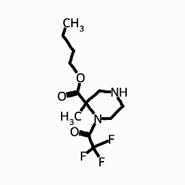 CCCCOC(=O)C1(C)CNCCN1C(=O)C(F)(F)F